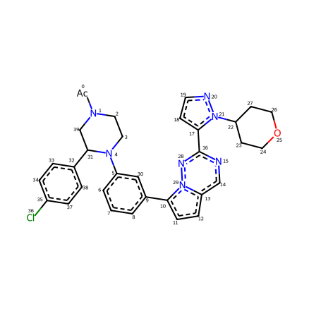 CC(=O)N1CCN(c2cccc(-c3ccc4cnc(-c5ccnn5C5CCOCC5)nn34)c2)C(c2ccc(Cl)cc2)C1